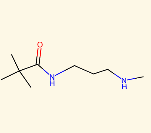 CNCCCNC(=O)C(C)(C)C